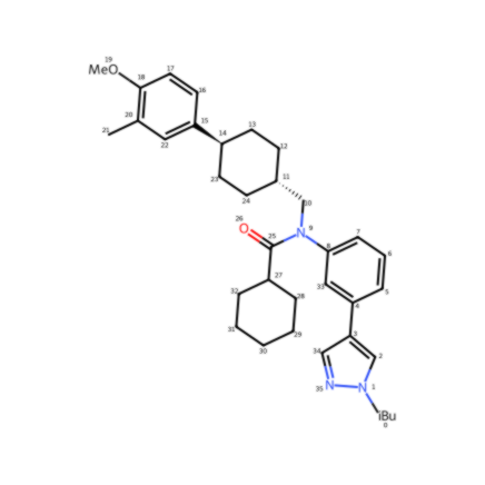 CCC(C)n1cc(-c2cccc(N(C[C@H]3CC[C@H](c4ccc(OC)c(C)c4)CC3)C(=O)C3CCCCC3)c2)cn1